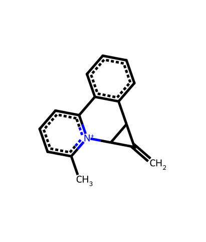 C=C1C2c3ccccc3-c3cccc(C)[n+]3C12